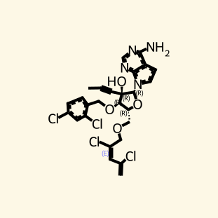 C=C(Cl)/C=C(/Cl)COC[C@H]1O[C@@H](n2ccc3c(N)ncnc32)[C@@](O)(C#CC)[C@@H]1OCc1ccc(Cl)cc1Cl